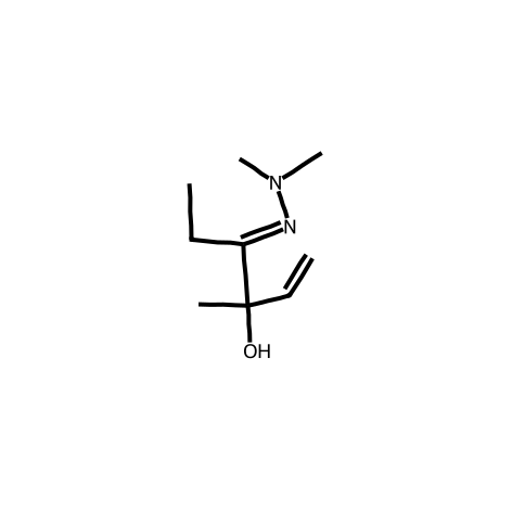 C=CC(C)(O)C(CC)=NN(C)C